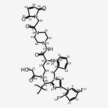 CC(C)(C)[C@H](c1nc(-c2cc(F)ccc2F)cn1Cc1ccccc1)N(CC[C@H](N)C(=O)NN1CCN(C(=O)CN2C(=O)C=CC2=O)CC1)C(=O)CO